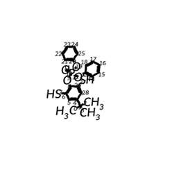 CC(C)(C)c1cc(S)c(OP(=O)(Oc2ccccc2)Oc2ccccc2)c(S)c1